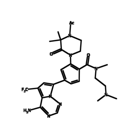 CC(=O)N1CCN(c2cc(-c3cc(C(F)(F)F)c4c(N)ncnn34)ccc2C(=O)N(C)CCN(C)C)C(=O)C1(C)C